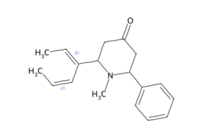 C/C=C\C(=C/C)C1CC(=O)CC(c2ccccc2)N1C